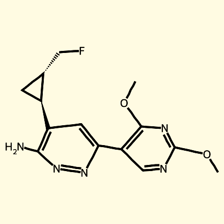 COc1ncc(-c2cc([C@H]3C[C@@H]3CF)c(N)nn2)c(OC)n1